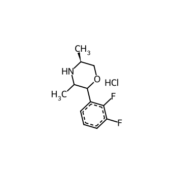 CC1N[C@@H](C)COC1c1cccc(F)c1F.Cl